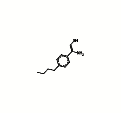 CCCCc1ccc(/C(N)=C/S)cc1